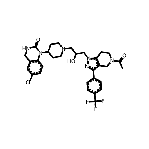 CC(=O)N1CCc2c(c(-c3ccc(C(F)(F)F)cc3)nn2CC(O)CN2CCC(N3C(=O)NCc4cc(Cl)ccc43)CC2)C1